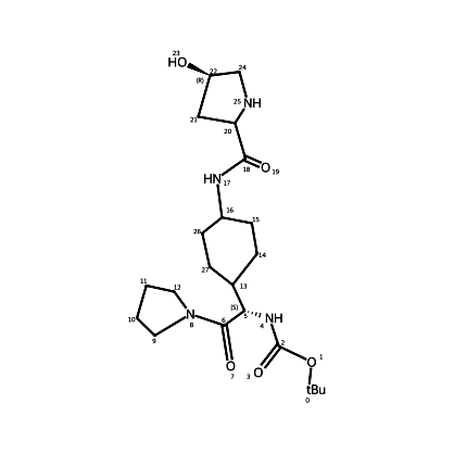 CC(C)(C)OC(=O)N[C@H](C(=O)N1CCCC1)C1CCC(NC(=O)C2C[C@@H](O)CN2)CC1